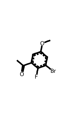 COc1cc(Br)c(F)c(C(C)=O)c1